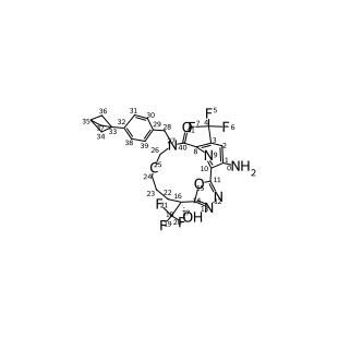 Nc1cc(C(F)(F)F)c2nc1-c1nnc(o1)[C@@](O)(C(F)(F)F)CCCCCN(Cc1ccc(C34CC(C3)C4)cc1)C2=O